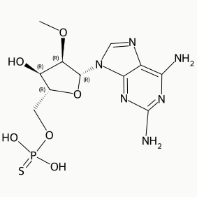 CO[C@@H]1[C@H](O)[C@@H](COP(O)(O)=S)O[C@H]1n1cnc2c(N)nc(N)nc21